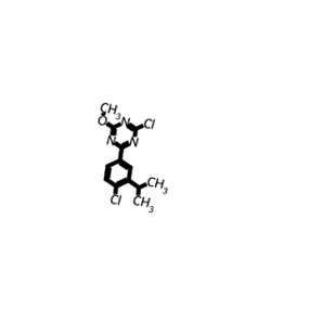 COc1nc(Cl)nc(-c2ccc(Cl)c(C(C)C)c2)n1